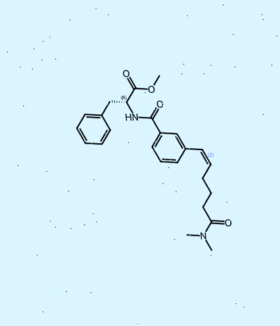 COC(=O)[C@@H](Cc1ccccc1)NC(=O)c1cccc(/C=C\CCCC(=O)N(C)C)c1